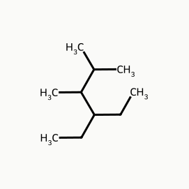 CCC(CC)C(C)C(C)C